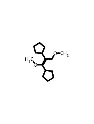 COCC(=C(OC)C1CCCC1)C1CCCC1